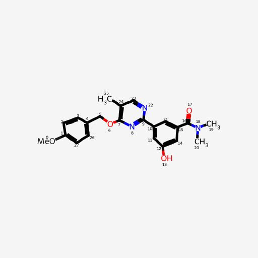 COc1ccc(COc2nc(-c3cc(O)cc(C(=O)N(C)C)c3)ncc2C)cc1